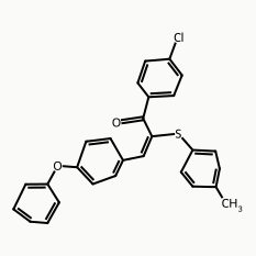 Cc1ccc(S/C(=C/c2ccc(Oc3ccccc3)cc2)C(=O)c2ccc(Cl)cc2)cc1